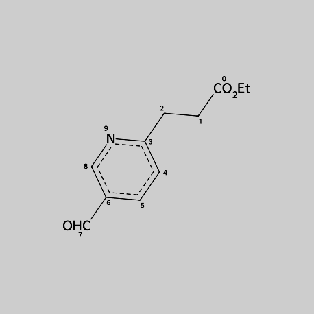 CCOC(=O)CCc1ccc(C=O)cn1